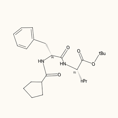 CCC[C@H](NC(=O)[C@@H](Cc1ccccc1)NC(=O)C1CCCC1)C(=O)OC(C)(C)C